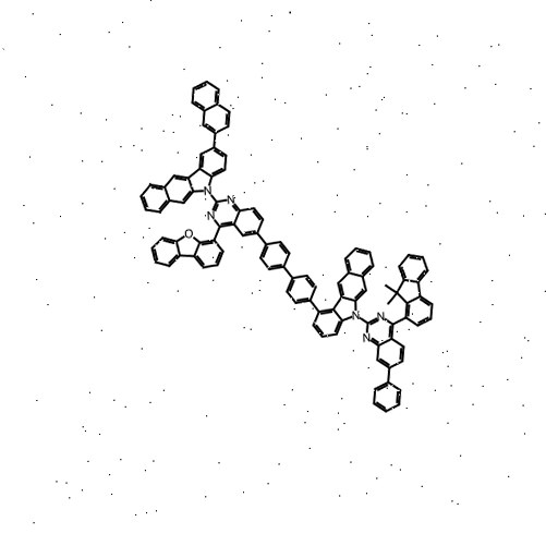 CC1(C)c2ccccc2-c2cccc(-c3nc(-n4c5cc6ccccc6cc5c5c(-c6ccc(-c7ccc(-c8ccc9nc(-n%10c%11ccc(-c%12ccc%13ccccc%13c%12)cc%11c%11cc%12ccccc%12cc%11%10)nc(-c%10cccc%11c%10oc%10ccccc%10%11)c9c8)cc7)cc6)cccc54)nc4cc(-c5ccccc5)ccc34)c21